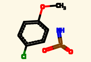 COc1ccc(Cl)cc1.N=S(=O)=O